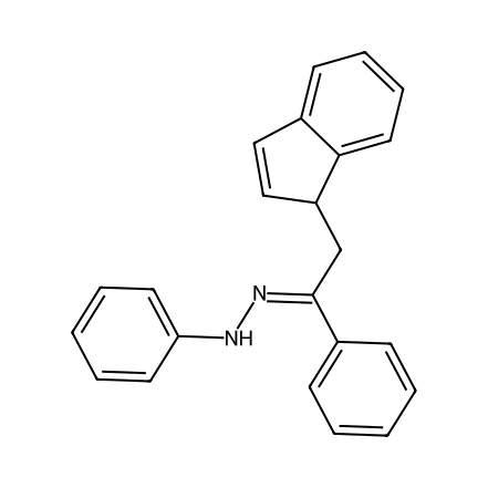 C1=CC(CC(=NNc2ccccc2)c2ccccc2)c2ccccc21